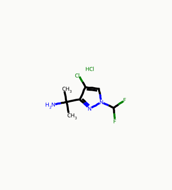 CC(C)(N)c1nn(C(F)F)cc1Cl.Cl